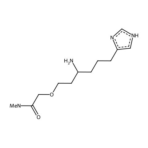 CNC(=O)COCCC(N)CCCc1c[nH]cn1